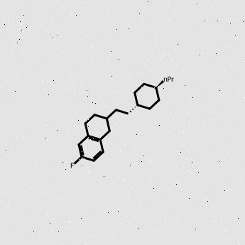 CCC[C@H]1CC[C@H](CCC2CCc3cc(F)ccc3C2)CC1